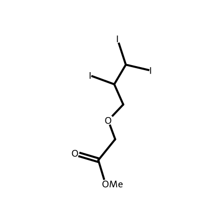 COC(=O)COCC(I)C(I)I